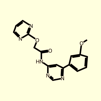 COc1cccc(-c2cc(NC(=O)COc3ncccn3)ncn2)c1